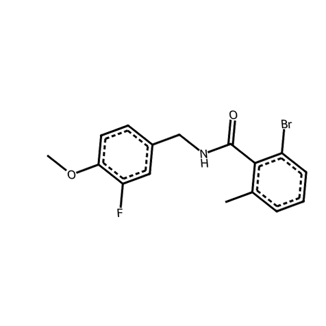 COc1ccc(CNC(=O)c2c(C)cccc2Br)cc1F